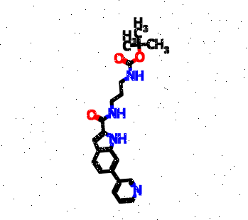 CC(C)(C)OC(=O)NCCCNC(=O)c1cc2ccc(-c3cccnc3)cc2[nH]1